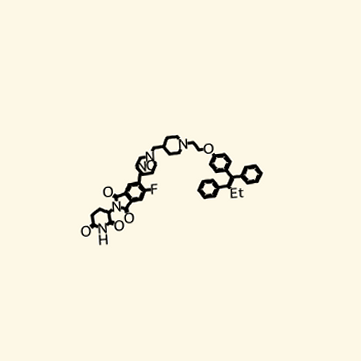 CCC(=C(c1ccccc1)c1ccc(OCCN2CCC(CN3CC4CCC3CN4c3cc4c(cc3F)C(=O)N(C3CCC(=O)NC3=O)C4=O)CC2)cc1)c1ccccc1